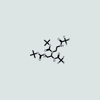 CC(C)(C)OC(=O)NCC(NC(=O)C(F)(F)F)N(CCNC(=O)C(F)(F)F)C(=O)OC(C)(C)C